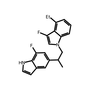 CCc1cccc2c1c(F)cn2CC(C)c1cc(F)c2[nH]ccc2c1